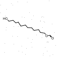 O=COCCCCCCCCCCCCO